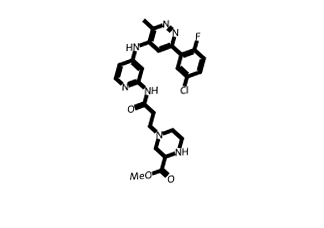 COC(=O)C1CN(CCC(=O)Nc2cc(Nc3cc(-c4cc(Cl)ccc4F)nnc3C)ccn2)CCN1